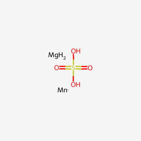 O=S(=O)(O)O.[MgH2].[Mn]